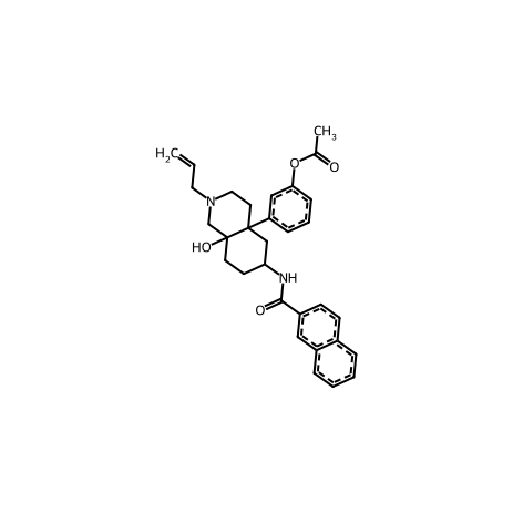 C=CCN1CCC2(c3cccc(OC(C)=O)c3)CC(NC(=O)c3ccc4ccccc4c3)CCC2(O)C1